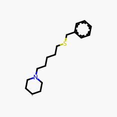 [CH]1CCN(CCCCCSCc2ccccc2)CC1